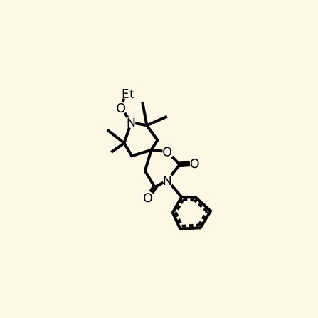 CCON1C(C)(C)CC2(CC(=O)N(c3ccccc3)C(=O)O2)CC1(C)C